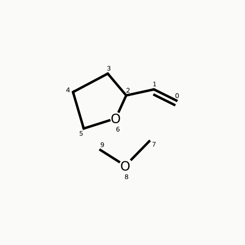 C=CC1CCCO1.COC